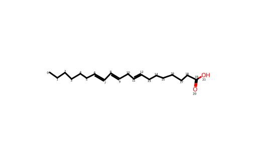 CCCCCC/C=C/C=C/C/C=C/CCCCCCC(=O)O